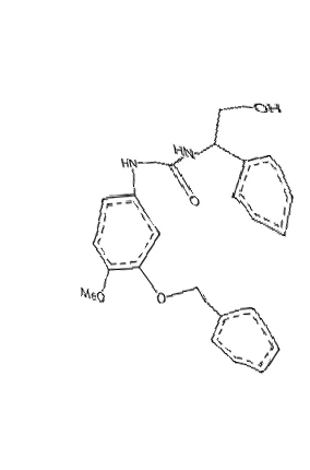 COc1ccc(NC(=O)NC(CO)c2ccccc2)cc1OCc1ccccc1